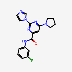 O=C(Nc1cccc(F)c1)c1cc(N2CCCC2)nc(-n2ccnc2)n1